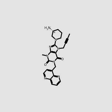 CC#CCn1c(N2CCC[C@@H](N)C2)nc2c1c(=O)n(Cc1ccnc3cccnc13)c(=O)n2C